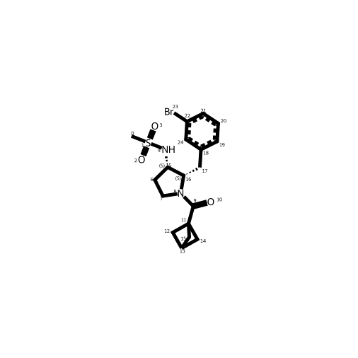 CS(=O)(=O)N[C@H]1CCN(C(=O)C23CC(C2)C3)[C@H]1Cc1cccc(Br)c1